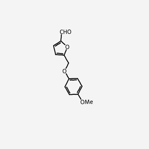 COc1ccc(OCc2ccc(C=O)o2)cc1